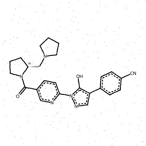 N#Cc1ccc(-c2cnn(-c3ccc(C(=O)N4CCC[C@@H]4CN4CCCC4)cn3)c2O)cc1